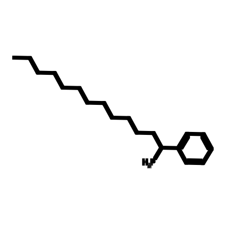 CCCCCCCCCCCCC(P)c1ccccc1